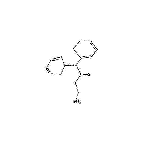 NCC[S+]([O-])C(C1=CC=CCC1)C1C=CC=CC1